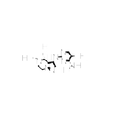 CCNc1nc(Nc2cnn3c2[C@@H](C)N(C)CC3)ncc1C(F)(F)F